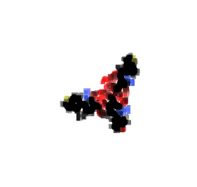 CCc1cc(C(=O)Oc2c(CC)c(-c3ccc4occc4c3)[nH]c(=O)c2C(=O)OC(=O)c2c(O)c(CC)c(-c3ccc4sccc4c3)[nH]c2=O)c(=O)[nH]c1-c1ccc2sccc2c1